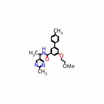 COCCOc1cc(C(=O)N[C@H](C)c2cnc(C)nc2)cc(-c2ccc(C)cc2)c1